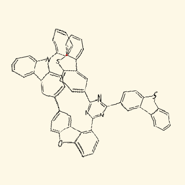 c1ccc(-n2c3ccccc3c3cc(-c4ccc5oc6cccc(-c7nc(-c8ccc9sc%10ccccc%10c9c8)nc(-c8ccc9sc%10ccccc%10c9c8)n7)c6c5c4)ccc32)cc1